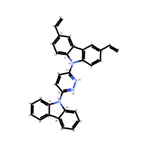 C=Cc1ccc2c(c1)c1cc(C=C)ccc1n2-c1ccc(-n2c3ccccc3c3ccccc32)nn1